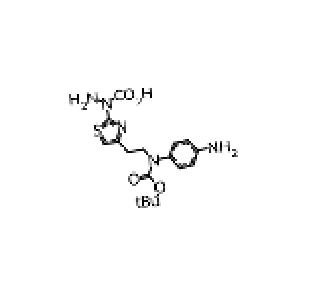 CC(C)(C)OC(=O)N(CCc1csc(N(N)C(=O)O)n1)c1ccc(N)cc1